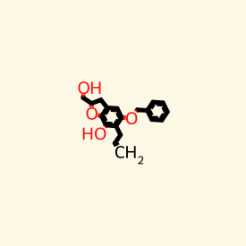 C=CCc1c(OCc2ccccc2)cc2c(c1O)OC(CO)C2